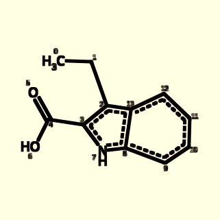 CCc1c(C(=O)O)[nH]c2ccccc12